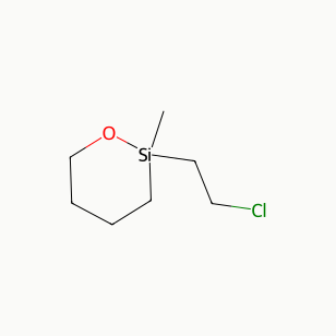 C[Si]1(CCCl)CCCCO1